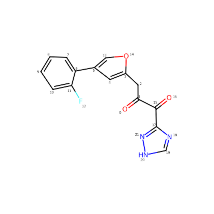 O=C(Cc1cc(-c2ccccc2F)co1)C(=O)c1nc[nH]n1